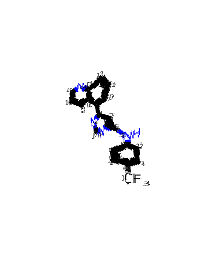 FC(F)(F)c1ccc(Nc2cc(-c3cccc4ncccc34)ncn2)cc1